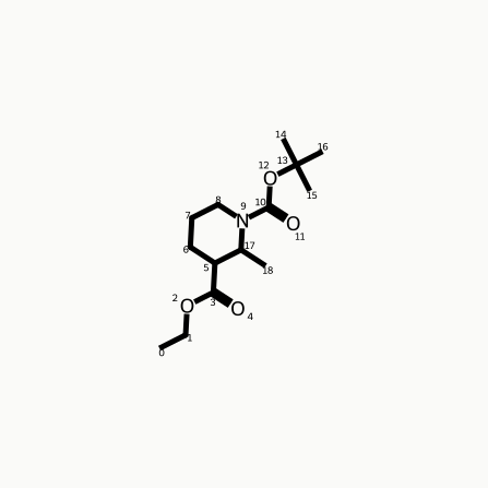 CCOC(=O)C1CCCN(C(=O)OC(C)(C)C)C1C